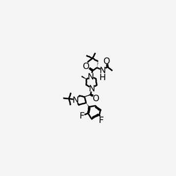 CC(=O)N[C@@H](CC(C)(C)C)C(=O)N1CCN(C(=O)[C@@H]2CN(C(C)(C)C)C[C@H]2c2ccc(F)cc2F)C[C@H]1C